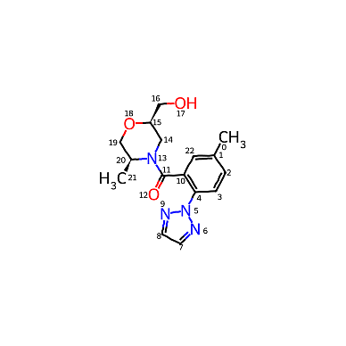 Cc1ccc(-n2nccn2)c(C(=O)N2C[C@H](CO)OC[C@@H]2C)c1